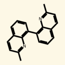 Cc1ccc2cccc(-c3cccc4ccc(C)nc34)c2n1